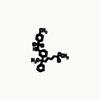 COC(=O)CCCCC(C)(c1ccccc1)c1cccc(NS(=O)(=O)c2ccc(C)cc2)c1